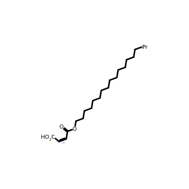 CC(C)CCCCCCCCCCCCCCCOC(=O)/C=C\C(=O)O